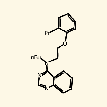 CCCCN(CCOc1ccccc1C(C)C)c1ncnc2ccccc12